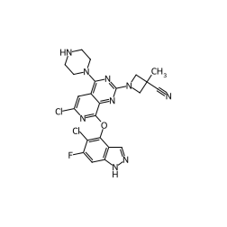 CC1(C#N)CN(c2nc(N3CCNCC3)c3cc(Cl)nc(Oc4c(Cl)c(F)cc5[nH]ncc45)c3n2)C1